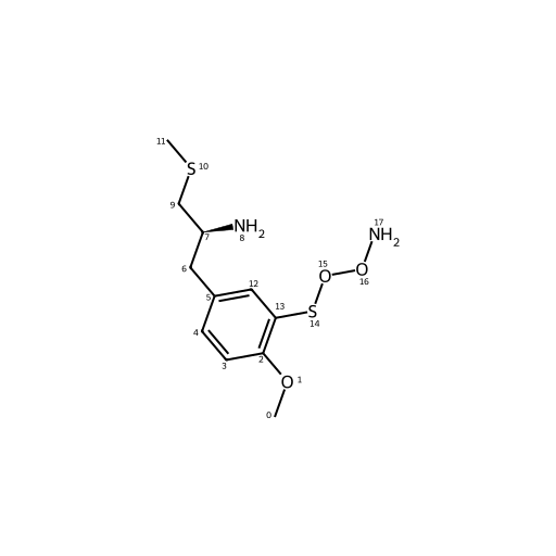 COc1ccc(C[C@H](N)CSC)cc1SOON